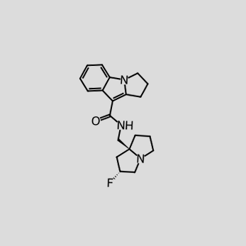 O=C(NC[C@@]12CCCN1C[C@H](F)C2)c1c2n(c3ccccc13)CCC2